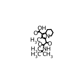 Cc1c(C(=O)O)c2n(c1C(=O)C(=O)NC(C)(C)C)CCCC2